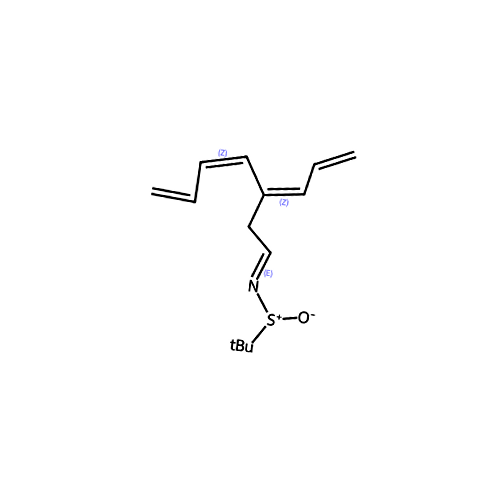 C=C/C=C\C(=C/C=C)C/C=N/[S+]([O-])C(C)(C)C